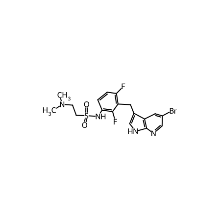 CN(C)CCS(=O)(=O)Nc1ccc(F)c(Cc2c[nH]c3ncc(Br)cc23)c1F